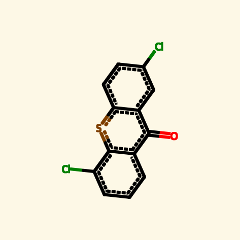 O=c1c2cc(Cl)ccc2sc2c(Cl)cccc12